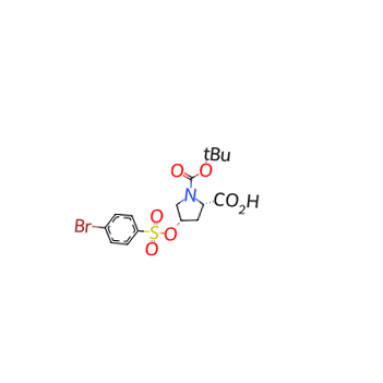 CC(C)(C)OC(=O)N1C[C@@H](OS(=O)(=O)c2ccc(Br)cc2)C[C@H]1C(=O)O